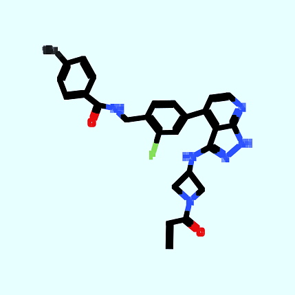 C=CC(=O)N1CC(Nc2n[nH]c3nccc(-c4ccc(CNC(=O)c5ccc(C(C)(C)C)cc5)c(F)c4)c23)C1